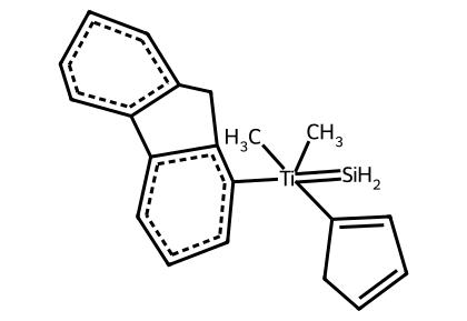 [CH3][Ti]([CH3])(=[SiH2])([C]1=CC=CC1)[c]1cccc2c1Cc1ccccc1-2